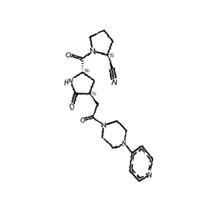 N#C[C@@H]1CCCN1C(=O)[C@@H]1C[C@@H](CC(=O)N2CCN(c3ccncc3)CC2)C(=O)N1